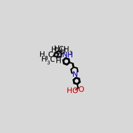 C[C@H]1[C@@H](Nc2cccc(C=C3CCN(c4ccc(C(=O)O)cc4)CC3)c2)C[C@@H]2C[C@@H]1C2(C)C